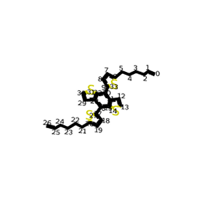 C=CCCCCc1ccc(-c2c3ccsc3c(-c3ccc(CCCCC=C)s3)c3ccsc23)s1